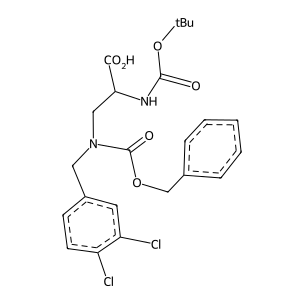 CC(C)(C)OC(=O)NC(CN(Cc1ccc(Cl)c(Cl)c1)C(=O)OCc1ccccc1)C(=O)O